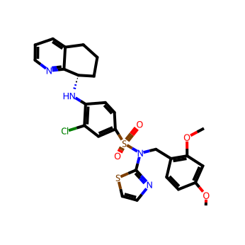 COc1ccc(CN(c2nccs2)S(=O)(=O)c2ccc(N[C@H]3CCCc4cccnc43)c(Cl)c2)c(OC)c1